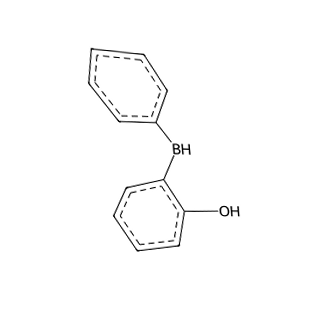 Oc1ccccc1Bc1ccccc1